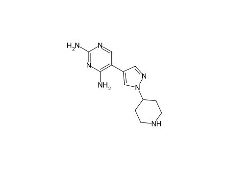 Nc1ncc(-c2cnn(C3CCNCC3)c2)c(N)n1